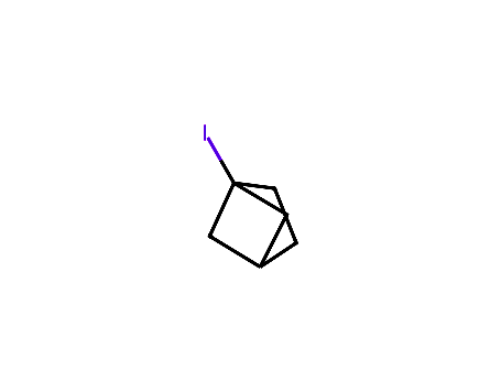 IC12CCC(C1)C2